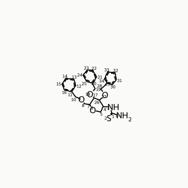 NC(=S)NC1COC(COCc2ccccc2)C(OCc2ccccc2)C1OCc1ccccc1